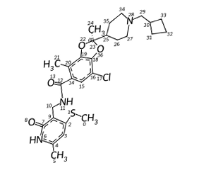 CSc1cc(C)[nH]c(=O)c1CNC(=O)c1cc(Cl)c2c(c1C)O[C@@](C)(C1CCN(CC3CCC3)CC1)O2